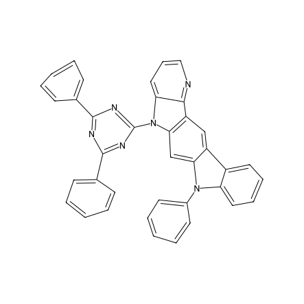 c1ccc(-c2nc(-c3ccccc3)nc(-n3c4cc5c(cc4c4ncccc43)c3ccccc3n5-c3ccccc3)n2)cc1